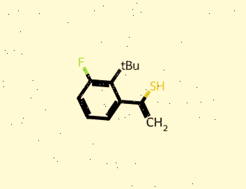 C=C(S)c1cccc(F)c1C(C)(C)C